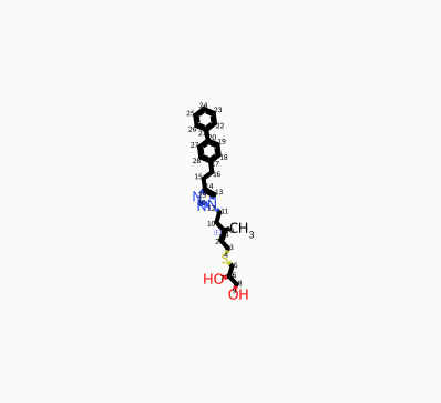 C/C(=C\CSCC(O)CO)CCn1cc(CCc2ccc(-c3ccccc3)cc2)nn1